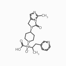 Cc1ncc2n1C(=O)N(C1CCN([N+]([O-])(C(=O)O)C(C)Cc3cccnc3)CC1)C2